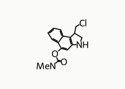 CNC(=O)Oc1cc2c(c3ccccc13)C(CCl)CN2